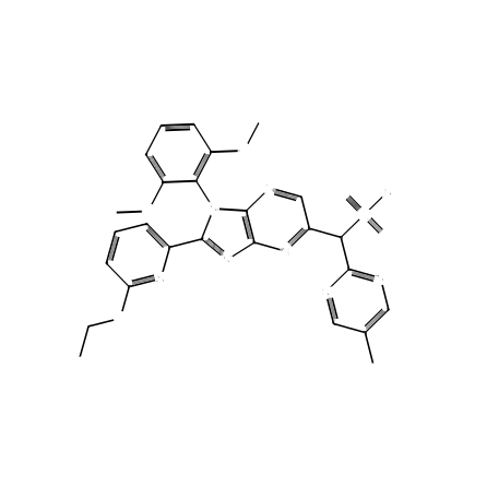 CCOc1cccc(-c2nc3nc(C(c4ncc(C)cn4)S(N)(=O)=O)cnc3n2-c2c(OC)cccc2OC)n1